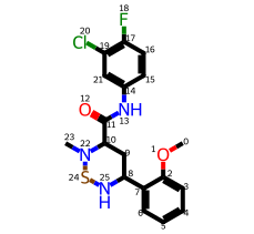 COc1ccccc1C1CC(C(=O)Nc2ccc(F)c(Cl)c2)N(C)SN1